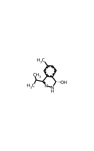 Cc1ccc2c(c1)C(C(C)C)=NN[C@H]2O